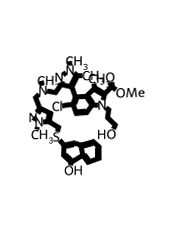 COC(=O)c1c(C)c2c(-c3c(CN(C)Cc4cc(CSc5cc(O)c6ccccc6c5)n(C)n4)nn(C)c3C)c(Cl)ccc2n1CCCO